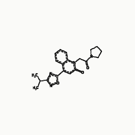 CC(C)c1noc(-c2cc(=O)n(CC(=O)N3CCCC3)c3ccccc23)n1